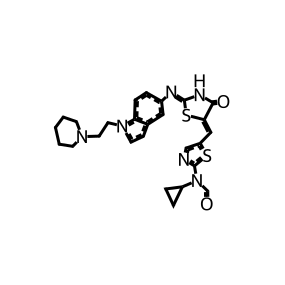 O=CN(c1ncc(/C=C2\SC(=Nc3ccc4c(ccn4CCN4CCCCC4)c3)NC2=O)s1)C1CC1